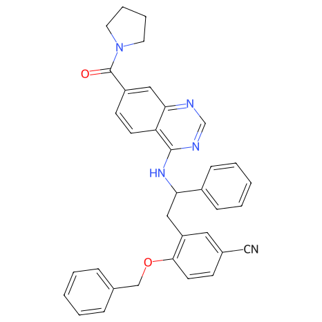 N#Cc1ccc(OCc2ccccc2)c(CC(Nc2ncnc3cc(C(=O)N4CCCC4)ccc23)c2ccccc2)c1